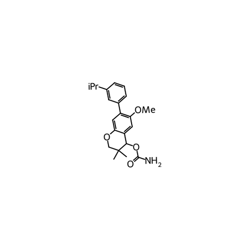 COc1cc2c(cc1-c1cccc(C(C)C)c1)OCC(C)(C)C2OC(N)=O